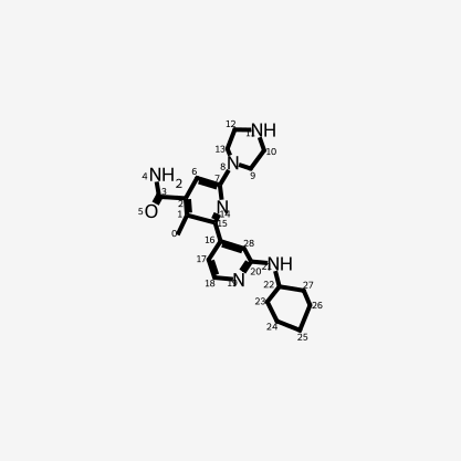 Cc1c(C(N)=O)cc(N2CCNCC2)nc1-c1ccnc(NC2CCCCC2)c1